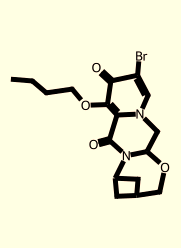 CCCCOc1c2n(cc(Br)c1=O)CC1OCC3CC(C3)N1C2=O